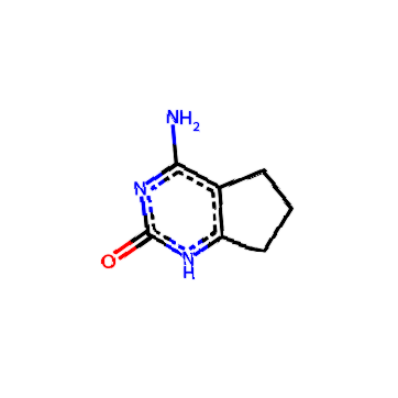 Nc1nc(=O)[nH]c2c1CCC2